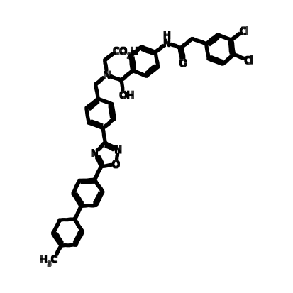 CC1=CCC(c2ccc(-c3nc(-c4ccc(CN(CC(=O)O)C(O)c5ccc(NC(=O)Cc6ccc(Cl)c(Cl)c6)cc5)cc4)no3)cc2)C=C1